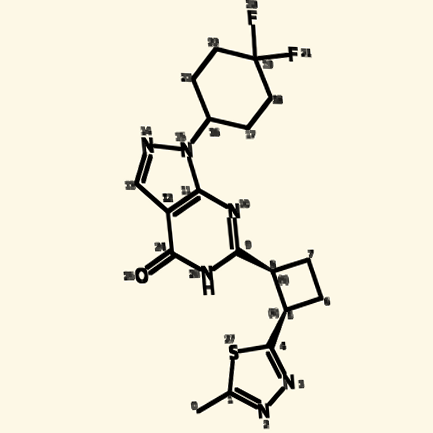 Cc1nnc([C@@H]2CC[C@@H]2c2nc3c(cnn3C3CCC(F)(F)CC3)c(=O)[nH]2)s1